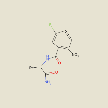 CC(C)C(NC(=O)c1cc(F)ccc1[N+](=O)[O-])C(N)=O